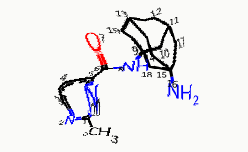 Cc1nccc(C(=O)NC23CC4CC(CC(N)(C4)C2)C3)n1